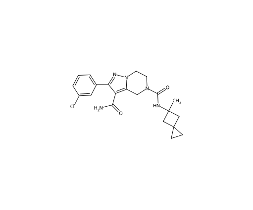 CC1(NC(=O)N2CCn3nc(-c4cccc(Cl)c4)c(C(N)=O)c3C2)CC2(CC2)C1